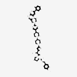 CC(C)C(C(=O)N1C[C@H](O)C[C@H]1C(=O)NCc1ccc(C#N)cc1)c1cc(N2CCC(N3CCC(c4cnc(N5CCN6c7cc(-c8ccccc8O)nnc7NC[C@H]6C5)nc4)CC3)CC2)no1